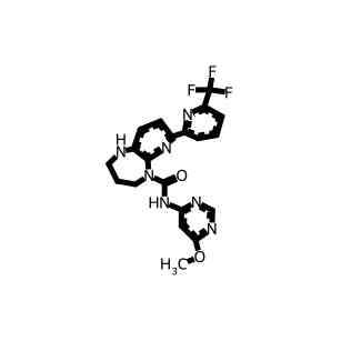 COc1cc(NC(=O)N2CCCNc3ccc(-c4cccc(C(F)(F)F)n4)nc32)ncn1